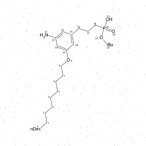 CCCCCCCCCCCCCCCCCCOc1cc(N)cc(CCCP(=O)(O)OC(C)CC)c1